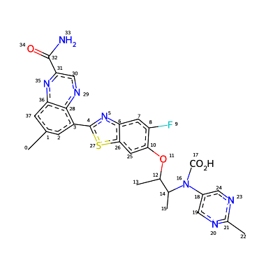 Cc1cc(-c2nc3cc(F)c(OC(C)C(C)N(C(=O)O)c4cnc(C)nc4)cc3s2)c2ncc(C(N)=O)nc2c1